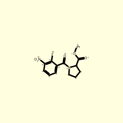 CC(C)OC(=O)C1CCCN1C(=O)c1cccc([N+](=O)[O-])c1F